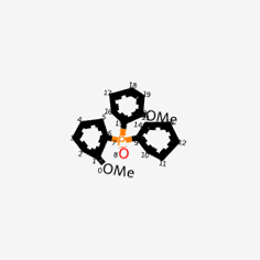 COc1ccccc1P(=O)(c1ccccc1)c1ccccc1OC